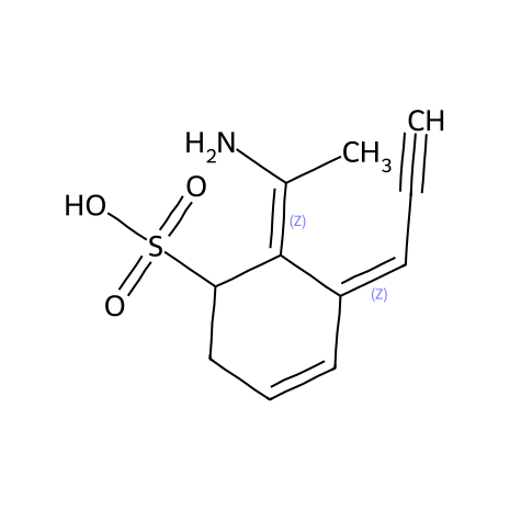 C#C/C=C1/C=CCC(S(=O)(=O)O)/C1=C(/C)N